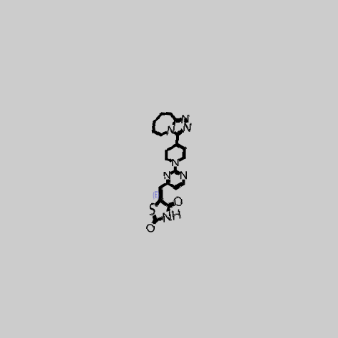 O=C1NC(=O)/C(=C\c2ccnc(N3CCC(c4nnc5n4CCCCC5)CC3)n2)S1